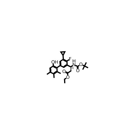 CCOC(=O)C[C@H](NC(=O)OC(C)(C)C)c1cc(-c2c(O)cc(C)c(C)c2C)cc(C2CC2)c1F